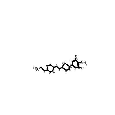 CCCC1CCC(CCC2CCC(c3cc(F)c(C)c(F)c3)CC2)CC1